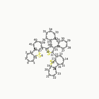 c1ccc2c(c1)sc1c(-c3sc(-c4cccc5c4sc4ccccc45)c4c5ccccc5c5ccccc5c34)cccc12